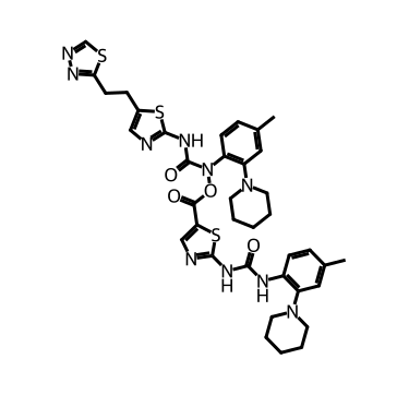 Cc1ccc(NC(=O)Nc2ncc(C(=O)ON(C(=O)Nc3ncc(CCc4nncs4)s3)c3ccc(C)cc3N3CCCCC3)s2)c(N2CCCCC2)c1